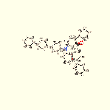 c1ccc(-c2ccc(-c3ccc(N(c4ccccc4)c4ccc5c(oc6ccccc65)c4-c4ccc(-c5ccccc5)cc4)cc3)cc2)cc1